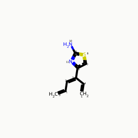 C=C/C=C(\C=C)c1csc(N)n1